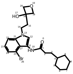 O=C(CCC1CCCCC1)Nc1cn(CCC2(O)COC2)c2cccc(Br)c12